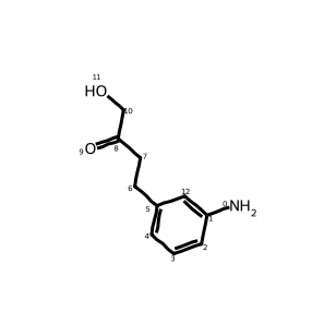 Nc1cccc(CCC(=O)CO)c1